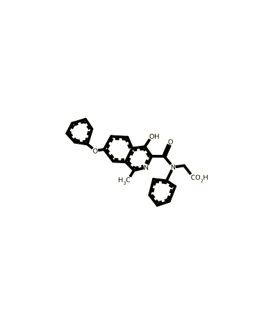 Cc1nc(C(=O)N(CC(=O)O)c2ccccc2)c(O)c2ccc(Oc3ccccc3)cc12